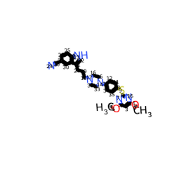 COc1cc(OC)nc(Sc2ccc(N3CCN(CCCc4c[nH]c5ccc(C#N)cc45)CC3)cc2)n1